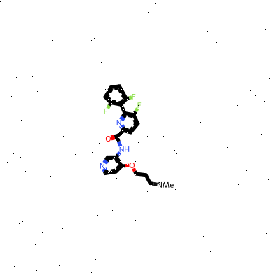 CNCCCOc1ccncc1NC(=O)c1ccc(F)c(-c2c(F)cccc2F)n1